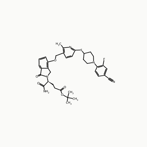 Cc1nc(SC2CCN(c3ccc(C#N)cc3F)CC2)ccc1COc1cccc2c1CN([C@@H](CCC(=O)OC(C)(C)C)C(N)=O)C2=O